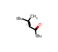 C/C(=C\C(=O)C(C)(C)C)C(C)(C)C